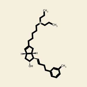 CCCN(CCC)CCCCCC1=C[C@H]2C[C@@H](O)[C@H](/C=C/CCc3cccc(C)c3)[C@H]2C1